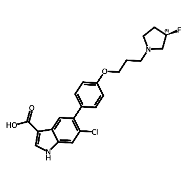 O=C(O)c1c[nH]c2cc(Cl)c(-c3ccc(OCCCN4CC[C@@H](F)C4)cc3)cc12